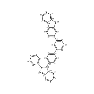 c1ccc(-c2nc3ccccn3c2-c2ccc(-c3cccc(-c4ccc5c(c4)sc4ccccc45)c3)cc2)cc1